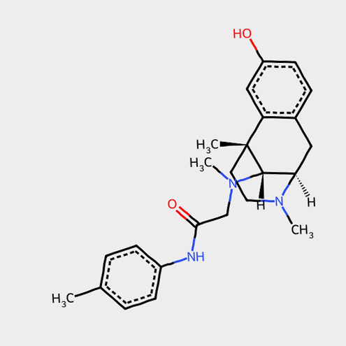 Cc1ccc(NC(=O)CN(C)[C@H]2[C@H]3Cc4ccc(O)cc4[C@@]2(C)CCN3C)cc1